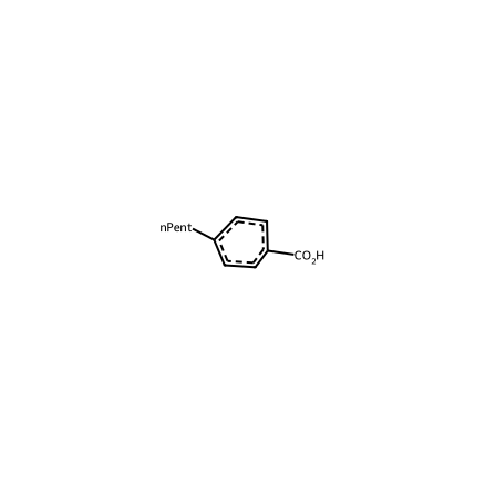 CC[CH]CCc1ccc(C(=O)O)cc1